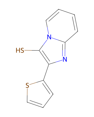 Sc1c(-c2cccs2)nc2ccccn12